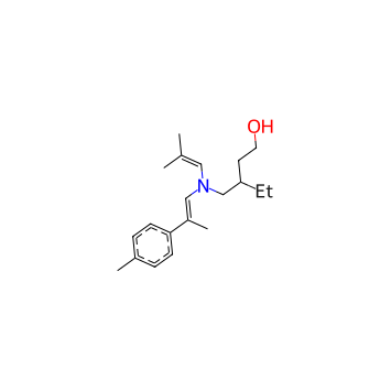 CCC(CCO)CN(C=C(C)C)/C=C(\C)c1ccc(C)cc1